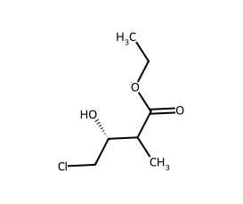 CCOC(=O)C(C)[C@@H](O)CCl